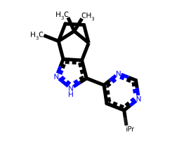 CC(C)c1cc(-c2[nH]nc3c2C2CCC3(C)C2(C)C)ncn1